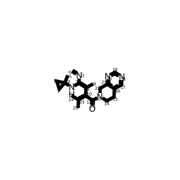 C=N/C(NC1(C)CC1)=C(\C)C(C(=O)N1CCc2cncnc2C1)=C(C)C